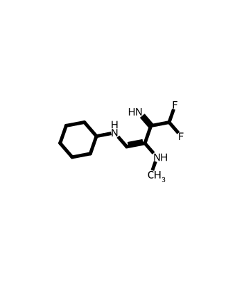 CN/C(=C/NC1CCCCC1)C(=N)C(F)F